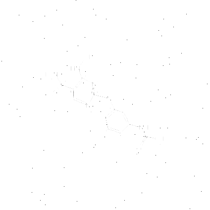 CNc1nc(Nc2cccc(NC(C)=O)c2)ncc1C(N)=O